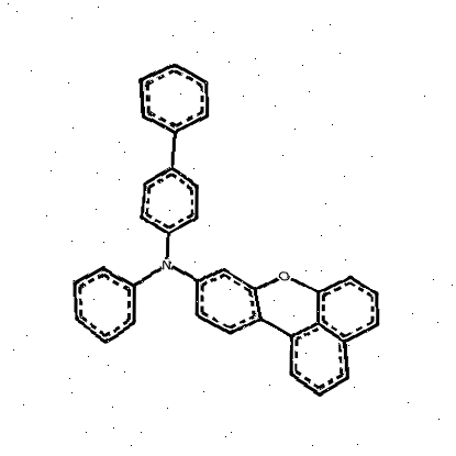 c1ccc(-c2ccc(N(c3ccccc3)c3ccc4c(c3)Oc3cccc5cccc-4c35)cc2)cc1